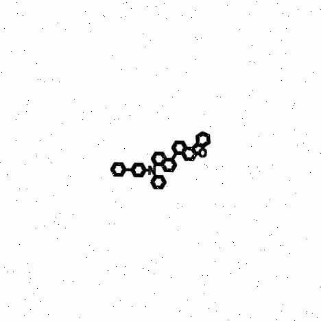 c1ccc(-c2ccc(N(c3ccccc3)c3cccc4c(-c5cccc6c5ccc5oc7ccccc7c56)cccc34)cc2)cc1